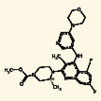 COC(=O)N1CCN(c2nc3cc(F)cc(F)c3c(Nc3cncc(N4CCOCC4)c3)c2C)[C@H](C)C1